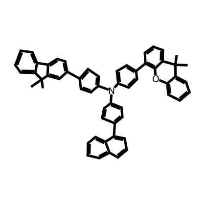 CC1(C)c2ccccc2-c2ccc(-c3ccc(N(c4ccc(-c5cccc6c5Oc5ccccc5C6(C)C)cc4)c4ccc(-c5cccc6ccccc56)cc4)cc3)cc21